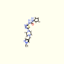 CCn1cc(CN2CCN(c3nnc(NC(=O)NC4CCCC4)s3)CC2)cn1